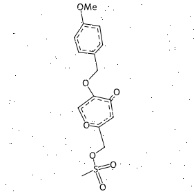 COc1ccc(COc2coc(COS(C)(=O)=O)cc2=O)cc1